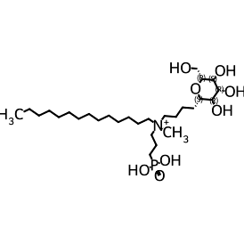 CCCCCCCCCCCCCC[N+](C)(CCCC[C@@H]1O[C@H](CO)[C@@H](O)[C@H](O)[C@H]1O)CCCP(=O)(O)O